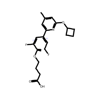 C=C(OCCCC(=O)O)/C(F)=C\C(=C/CF)c1cc(C)cc(OC2CCC2)n1